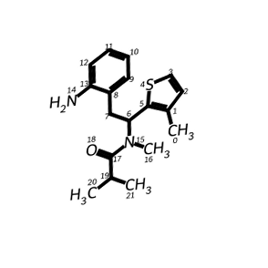 Cc1ccsc1C(Cc1ccccc1N)N(C)C(=O)C(C)C